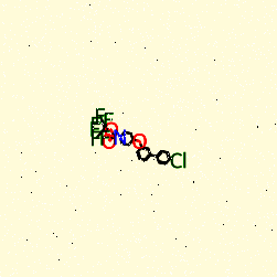 O=C(OC(C(F)(F)F)C(F)(F)F)N1CCC(Oc2cccc(-c3ccc(Cl)cc3)c2)CC1